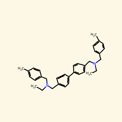 CCN(Cc1ccc(C)cc1)Cc1ccc(-c2ccc(CN(CC)Cc3ccc(C)cc3)cc2)cc1